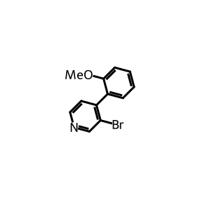 COc1ccccc1-c1ccncc1Br